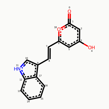 O=c1cc(O)cc(C=Cc2c[nH]c3ccccc23)o1